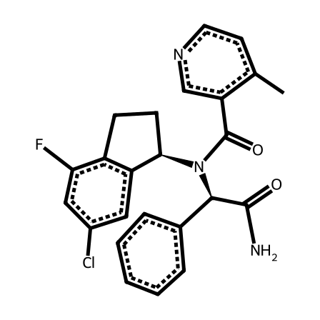 Cc1ccncc1C(=O)N([C@@H]1CCc2c(F)cc(Cl)cc21)[C@@H](C(N)=O)c1ccccc1